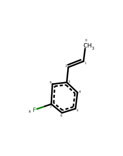 CC=Cc1cccc(F)c1